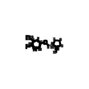 CCc1cc(OC[C@@H]2CCCN2C)cnc1F